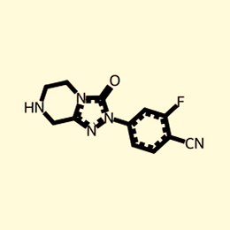 N#Cc1ccc(-n2nc3n(c2=O)CCNC3)cc1F